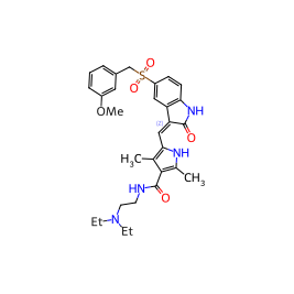 CCN(CC)CCNC(=O)c1c(C)[nH]c(/C=C2\C(=O)Nc3ccc(S(=O)(=O)Cc4cccc(OC)c4)cc32)c1C